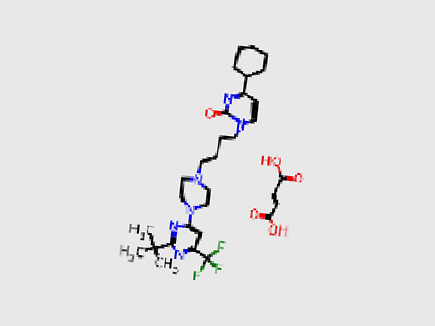 CC(C)(C)c1nc(N2CCN(CCCCn3ccc(C4CCCCC4)nc3=O)CC2)cc(C(F)(F)F)n1.O=C(O)C=CC(=O)O